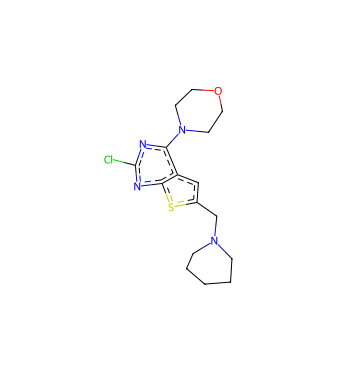 Clc1nc(N2CCOCC2)c2cc(CN3CCCCC3)sc2n1